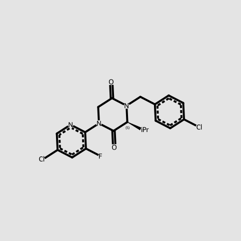 CC(C)[C@H]1C(=O)N(c2ncc(Cl)cc2F)CC(=O)N1Cc1ccc(Cl)cc1